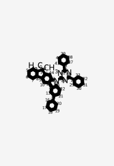 CC1(C)c2ccccc2-c2cc3c4cc(-c5ccccc5)ccc4n(-c4nc(-c5ccccc5)nc(-c5ccccc5)n4)c3cc21